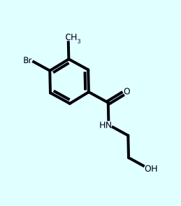 Cc1cc(C(=O)NCCO)ccc1Br